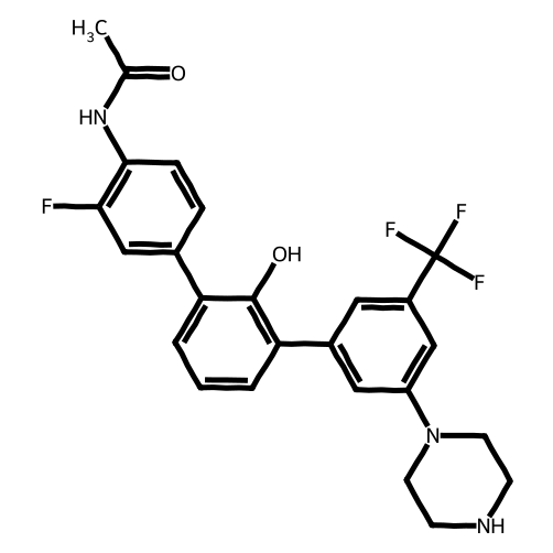 CC(=O)Nc1ccc(-c2cccc(-c3cc(N4CCNCC4)cc(C(F)(F)F)c3)c2O)cc1F